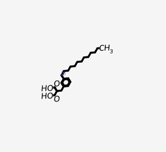 CCCCCCCCCCC/C=C\c1cccc(CC(C(=O)O)C(=O)O)c1